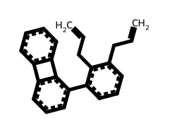 C=CCc1cccc(-c2cccc3c2-c2ccccc2-3)c1CC=C